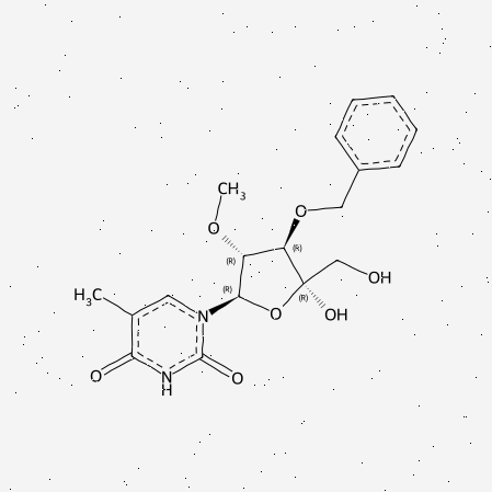 CO[C@H]1[C@H](n2cc(C)c(=O)[nH]c2=O)O[C@](O)(CO)[C@@H]1OCc1ccccc1